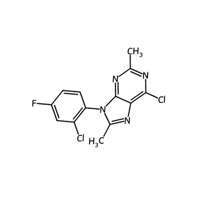 Cc1nc(Cl)c2nc(C)n(-c3ccc(F)cc3Cl)c2n1